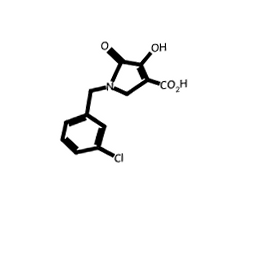 O=C(O)C1=C(O)C(=O)N(Cc2cccc(Cl)c2)C1